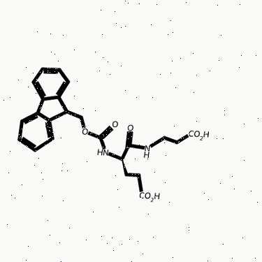 O=C(O)CCNC(=O)[C@@H](CCC(=O)O)NC(=O)OCC1c2ccccc2-c2ccccc21